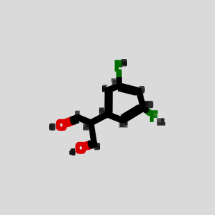 O=CC(C=O)c1cc(F)cc(F)c1